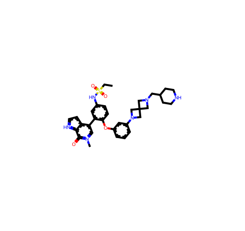 CCS(=O)(=O)Nc1ccc(Oc2cccc(N3CC4(CN(CC5CCNCC5)C4)C3)c2)c(-c2cn(C)c(=O)c3[nH]ccc23)c1